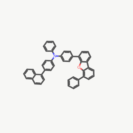 c1ccc(-c2cccc3c2oc2c(-c4ccc(N(c5ccccc5)c5ccc(-c6cccc7ccccc67)cc5)cc4)cccc23)cc1